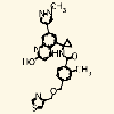 Cc1cc(COCc2cscn2)ccc1C(=O)NC1(c2cc(-c3cnn(C)c3)cc3nc(O)ccc23)CC1